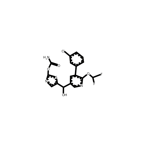 NC(=O)Oc1ncc(C(O)c2cnc(OC(F)F)c(-c3cccc(Cl)c3)c2)s1